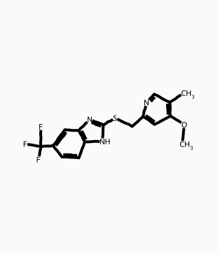 COc1cc(CSc2nc3cc(C(F)(F)F)ccc3[nH]2)ncc1C